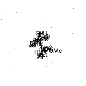 CCc1nc(C)oc1Nc1nc2cc(C(=O)OC)ccc2n1C/C=C/Cn1c(Nc2oc(C)nc2CC)nc2cc(C(N)=O)cc(CN3CCOCC3)c21